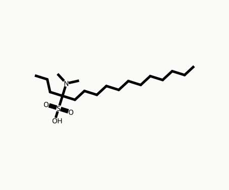 CCCCCCCCCCCCC(CCC)(N(C)C)S(=O)(=O)O